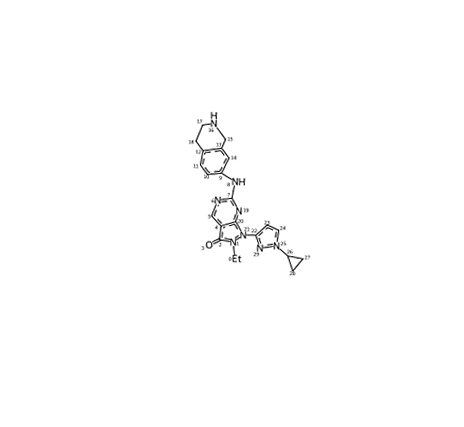 CCn1c(=O)c2cnc(Nc3ccc4c(c3)CNCC4)nc2n1-c1ccn(C2CC2)n1